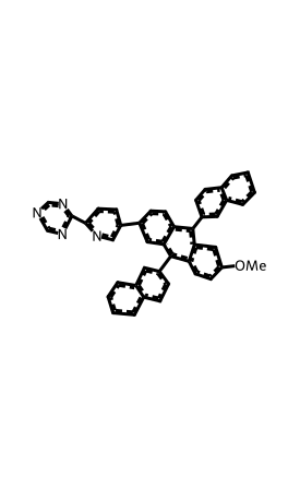 COc1ccc2c(-c3ccc4ccccc4c3)c3cc(-c4ccc(-c5ncncn5)nc4)ccc3c(-c3ccc4ccccc4c3)c2c1